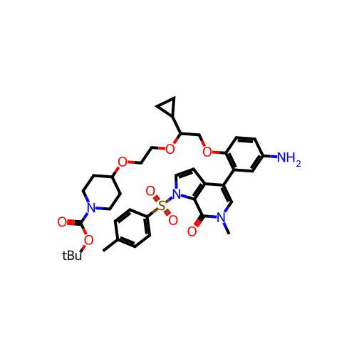 Cc1ccc(S(=O)(=O)n2ccc3c(-c4cc(N)ccc4OCC(OCCOC4CCN(C(=O)OC(C)(C)C)CC4)C4CC4)cn(C)c(=O)c32)cc1